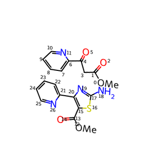 COC(=O)CC(=O)c1ccccn1.COC(=O)c1sc(N)nc1-c1ccccn1